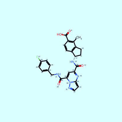 Cc1c(C(=O)O)ccc2c1CC[C@@H]2NC(=O)c1cc(C(=O)NCc2ccc(F)cc2)n2nccc2n1